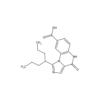 CCCC(CCC)c1ncc2c(=O)[nH]c3ccc(C(=O)O)cc3n12